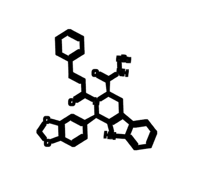 CCCCNC(=O)[C@H]1Cc2c([nH]c3ccccc23)[C@@H](c2ccc3c(c2)OCO3)N1C(=O)/C=C/c1ccccc1